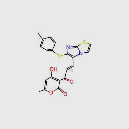 Cc1ccc(Sc2nc3sccn3c2/C=C/C(=O)c2c(O)cc(C)oc2=O)cc1